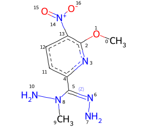 COc1nc(/C(=N/N)N(C)N)ccc1[N+](=O)[O-]